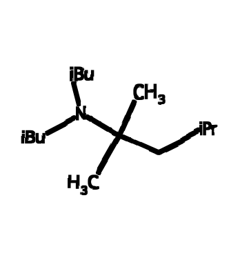 CCC(C)N(C(C)CC)C(C)(C)CC(C)C